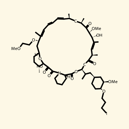 COCCO[C@H]1C[C@@H]2CC[C@@H](C)[C@@](O)(O2)C(=O)C(=O)N2CCCC[C@H]2C(=O)O[C@H](C(C)C[C@@H]2CC[C@@H](OCCCI)[C@H](OC)C2)CC(=O)[C@H](C)/C=C(\C)[C@@H](O)[C@@H](OC)C(=O)[C@H](C)C[C@H](C)/C=C/C=C/C=C/1C